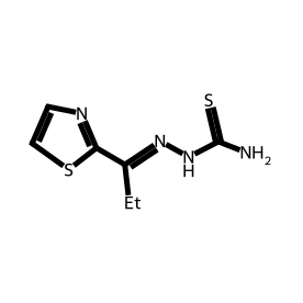 CCC(=NNC(N)=S)c1nccs1